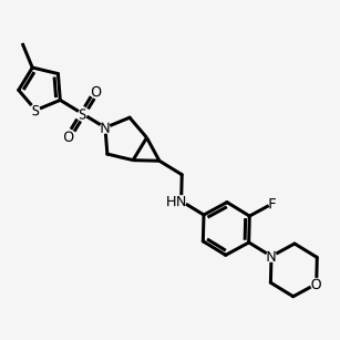 Cc1csc(S(=O)(=O)N2CC3C(CNc4ccc(N5CCOCC5)c(F)c4)C3C2)c1